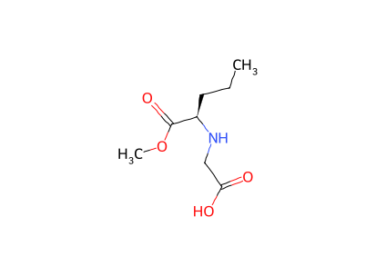 CCC[C@@H](NCC(=O)O)C(=O)OC